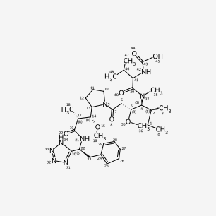 CC[C@H](C)[C@@H]([C@@H](CC(=O)N1CCCC1[C@H](OC)[C@@H](C)C(=O)N[C@@H](Cc1ccccc1)c1nnn[nH]1)OC)N(C)C(=O)C(NC(=O)O)C(C)C